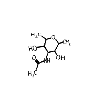 CC(=O)NC1C(O)C(C)OC(C)C1O